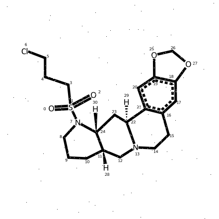 O=S(=O)(CCCCl)N1CCC[C@H]2CN3CCc4cc5c(cc4[C@@H]3C[C@H]21)OCO5